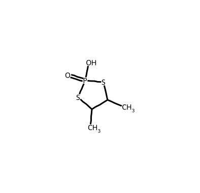 CC1SP(=O)(O)SC1C